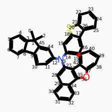 CC1(C)c2ccccc2-c2ccc(N(c3ccc4c(c3)sc3ccccc34)c3cc4ccccc4c4oc5ccccc5c34)cc21